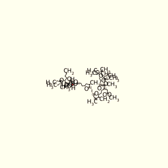 C=CCC1O[C@H]2[C@H]3O[C@]4(CCC5CC(=C)[C@H](CC[C@H]6C[C@@H](C)C(=C)C(CC7O[C@H](CC(CO[Si](CC)(CC)CC)O[Si](CC)(CC)CC)[C@H](OC)[C@H]7CC(=O)OC)O6)O5)C[C@H]3O[C@H]2[C@@H](O4)C1O[Si](CC)(CC)CC